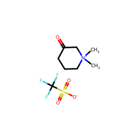 C[N+]1(C)CCCC(=O)C1.O=S(=O)([O-])C(F)(F)F